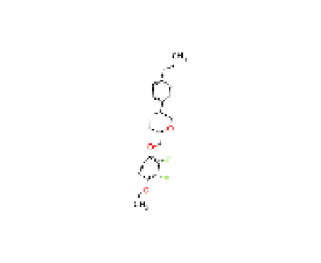 CCCc1ccc(C2CCC(COc3ccc(OCC)c(F)c3F)OC2)cc1